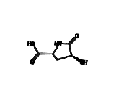 O=C1N[C@@H](C(=O)O)C[C@@H]1O